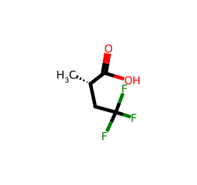 C[C@@H](CC(F)(F)F)C(=O)O